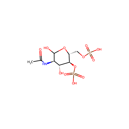 CC(=O)N[C@H]1C(O)O[C@H](COS(=O)(=O)O)[C@@H](OS(=O)(=O)O)[C@@H]1O